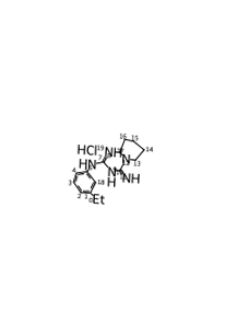 CCc1cccc(NC(=N)NC(=N)N2CCCCC2)c1.Cl